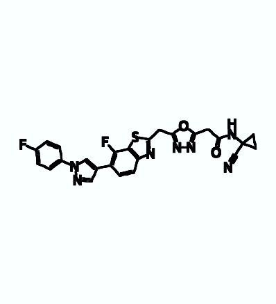 N#CC1(NC(=O)Cc2nnc(Cc3nc4ccc(-c5cnn(-c6ccc(F)cc6)c5)c(F)c4s3)o2)CC1